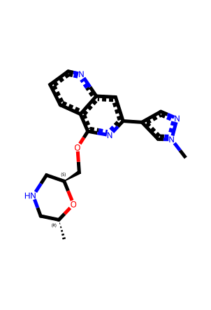 C[C@@H]1CNC[C@@H](COc2nc(-c3cnn(C)c3)cc3ncccc23)O1